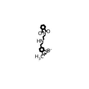 CN1C[S+]([O-])c2cc(CCNCCCN3C(=O)c4ccccc4C3=O)ccc21